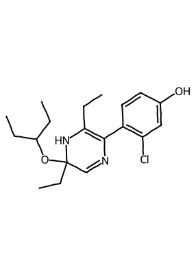 CCC1=C(c2ccc(O)cc2Cl)N=CC(CC)(OC(CC)CC)N1